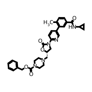 Cc1ccc(C(=O)NC2CC2)cc1-c1ccc(N2C[C@H](CN3CCN(C(=O)OCc4ccccc4)CC3)OC2=O)nc1